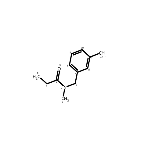 CCC(=O)N(C)Cc1cccc(C)c1